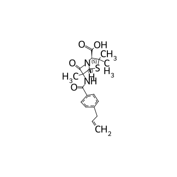 C=CCc1ccc(C(=O)NC2(C)C(=O)N3[C@@H](C(=O)O)C(C)(C)S[C@@H]32)cc1